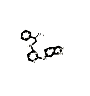 C[C@@H](CNc1ccnc(Nc2ccc3cn[nH]c3c2)n1)c1ccccc1